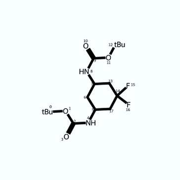 CC(C)(C)OC(=O)NC1CC(NC(=O)OC(C)(C)C)CC(F)(F)C1